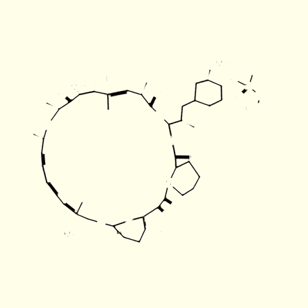 CCCOP(C)(=O)O[C@@H]1CCC(C[C@@H](C)C2CC(=O)[C@H](C)/C=C(\C)[C@@H](O)[C@@H](OC)C(=O)[C@H](C)C[C@H](C)/C=C/C=C/C=C(\C)[C@@H](OC)C[C@@H]3CC[C@@H](C)[C@@](O)(O3)C(=O)C(=O)N3CCCCC3C(=O)O2)C[C@H]1OC